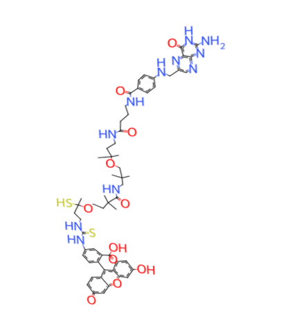 CC(C)(CNC(=O)C(C)(C)CCOC(C)(S)CCNC(=S)Nc1ccc(-c2c3ccc(=O)cc-3oc3cc(O)ccc23)c(C(=O)O)c1)COC(C)(C)CCNC(=O)CCCNC(=O)c1ccc(NCc2cnc3nc(N)[nH]c(=O)c3n2)cc1